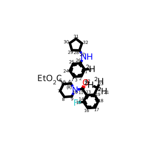 [2H]c1cc([C@H]2[C@@H](C(=O)OCC)CCCN2C(=O)c2c(F)cccc2C([2H])([2H])[2H])ccc1NC1CCCC1